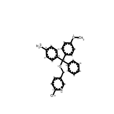 COc1ccc(C(OCc2ccc(Cl)nc2)(c2ccccc2)c2ccc(C)cc2)cc1